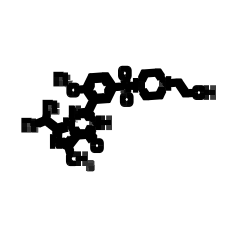 CCOc1ccc(S(=O)(=O)N2CCN(CCO)CC2)cc1-c1nn2c(C(CC)CC)nc(C)c2c(=O)[nH]1